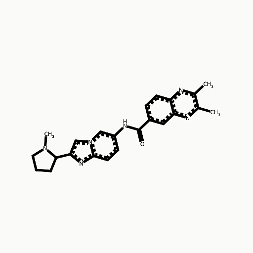 Cc1nc2ccc(C(=O)Nc3ccc4nc(C5CCCN5C)cn4c3)cc2nc1C